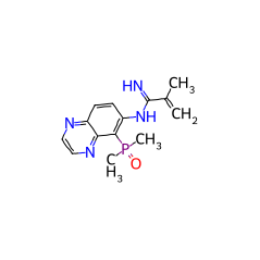 C=C(C)C(=N)Nc1ccc2nccnc2c1P(C)(C)=O